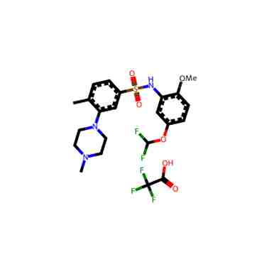 COc1ccc(OC(F)F)cc1NS(=O)(=O)c1ccc(C)c(N2CCN(C)CC2)c1.O=C(O)C(F)(F)F